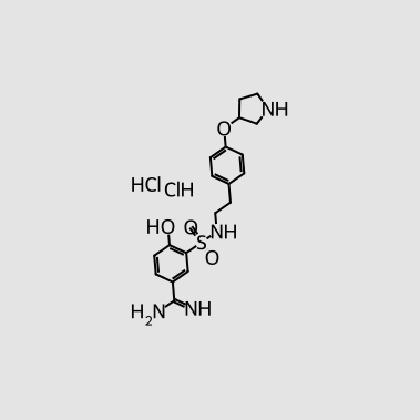 Cl.Cl.N=C(N)c1ccc(O)c(S(=O)(=O)NCCc2ccc(OC3CCNC3)cc2)c1